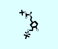 CN(CCc1ccc(Cl)c(CO[Si](C)(C)C(C)(C)C)c1)C(=O)OC(C)(C)C